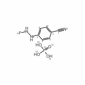 N#Cc1ccc(NNF)cc1.O=P(O)(O)O